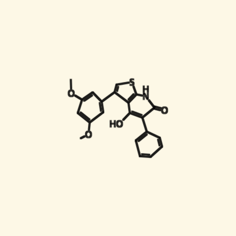 COc1cc(OC)cc(-c2csc3[nH]c(=O)c(-c4ccccc4)c(O)c23)c1